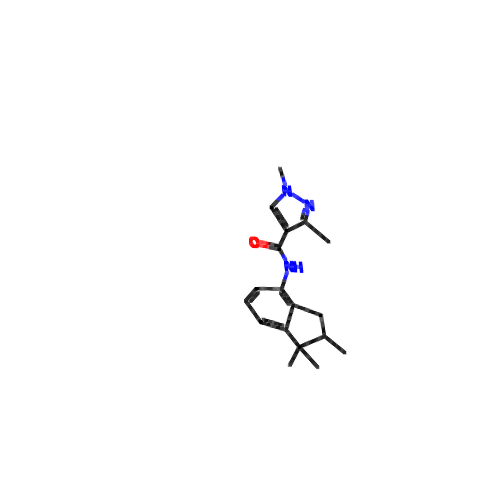 Cc1nn(C)cc1C(=O)Nc1cccc2c1CC(C)C2(C)C